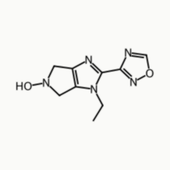 CCn1c(-c2ncon2)nc2c1CN(O)C2